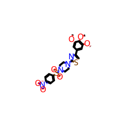 COc1cc(-c2csc(N3CCN(S(=O)(=O)c4ccc([N+](=O)[O-])cc4)CC3)n2)cc(OC)c1OC